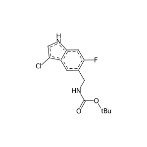 CC(C)(C)OC(=O)NCc1cc2c(Cl)c[nH]c2cc1F